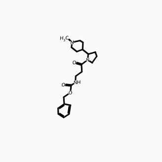 CN1CCC(C2CCCN2C(=O)CCNC(=O)OCc2ccccc2)CC1